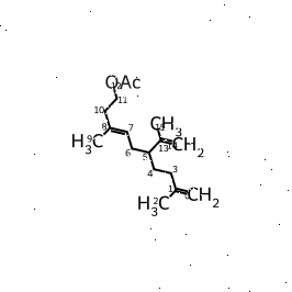 C=C(C)CCC(CC=C(C)CCOC(C)=O)C(=C)C